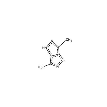 Cc1nsc2c(C)n[nH]c12